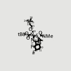 CNC(=O)[C@]12C[C@H]1[C@@](C)(c1cccc(F)c1F)N=C(N(COCC[Si](C)(C)C)C(=O)OC(C)(C)C)S2